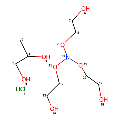 CC(O)CO.Cl.OCCON(OCCO)OCCO